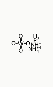 P.[NH4+].[NH4+].[O]=[W](=[O])([O-])[O-]